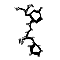 CN(C)Cc1cc(F)ccc1OCCN(C)Cc1ccccc1